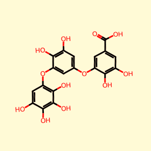 O=C(O)c1cc(O)c(O)c(Oc2cc(O)c(O)c(Oc3cc(O)c(O)c(O)c3O)c2)c1